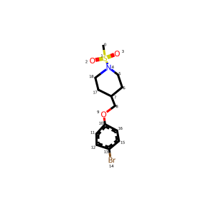 CS(=O)(=O)N1CCC(COc2ccc(Br)cc2)CC1